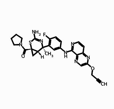 C#CCOc1cnc2c(Nc3ccc(F)c([C@]4(C)N=C(N)S[C@@]5(C(=O)N6CCCC6)C[C@@H]45)c3)nccc2n1